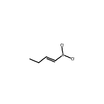 CCC=CB(Cl)Cl